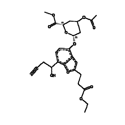 C#CCC(O)c1ccc(O[C@H]2CC(OC(C)=O)C[C@@H](C(=O)OC)O2)c2cc(CCC(=O)OCC)oc12